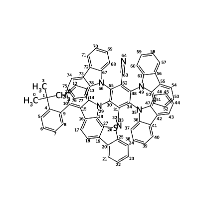 CC(C)(C)c1ccccc1-c1cccc2c1c1ccc3c4ccccc4sc3c1n2-c1c(C#N)c(-n2c3ccccc3c3ccccc32)c(-n2c3ccccc3c3ccccc32)c(C#N)c1-n1c2ccccc2c2ccccc21